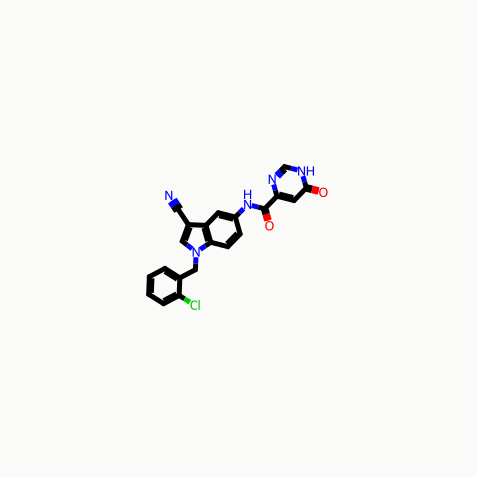 N#Cc1cn(Cc2ccccc2Cl)c2ccc(NC(=O)c3cc(=O)[nH]cn3)cc12